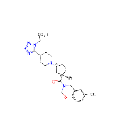 CC(C)[C@]1(C(=O)N2COc3ccc(C(F)(F)F)cc3C2)CC[C@@H](N2CCC(c3nnnn3CC(=O)O)CC2)C1